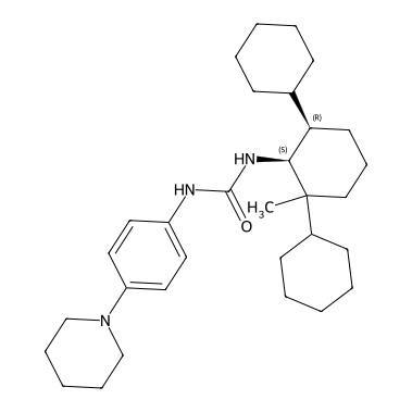 CC1(C2CCCCC2)CCC[C@H](C2CCCCC2)[C@@H]1NC(=O)Nc1ccc(N2CCCCC2)cc1